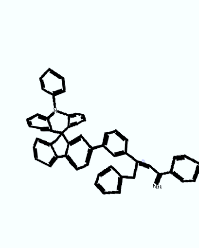 N=C(/C=C(\Cc1ccccc1)c1cccc(-c2ccc3c(c2)C2(c4ccccc4-3)c3ccccc3N(c3ccccc3)c3ccccc32)c1)c1ccccc1